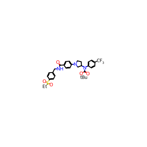 CCS(=O)(=O)c1ccc(CNC(=O)c2ccc(N3CCC(N(C(=O)OC(C)(C)C)c4ccc(C(F)(F)F)cc4)C3)cc2)cc1